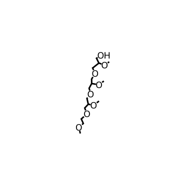 COCCOCC(COCC(COCC(CO)OC)OC)OC